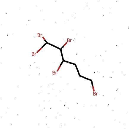 BrCCCC(Br)C(Br)C(Br)Br